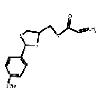 C=CC(=O)SCC1CSC(c2ccc(SC)cc2)S1